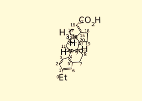 CCc1ccc2c(c1)CC[C@@H]1[C@@H]2CC[C@]2(C)C(=CC(=O)O)CC[C@@H]12